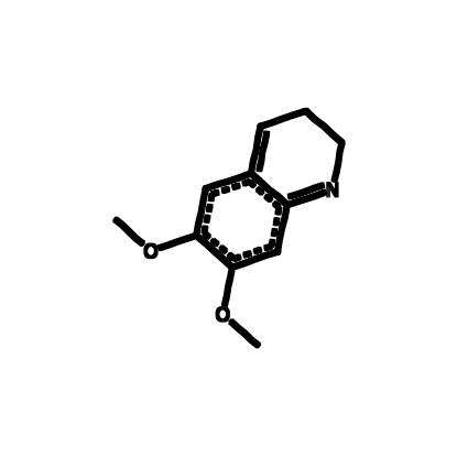 COc1cc2c(cc1OC)=NCCC=2